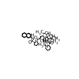 C/C(=C\[C@H](C(C)C)N(C)C(=O)[C@@H](NC(=O)[C@H]1CCCCN1C)C(C)(C)C)C(=O)N1CCC[C@H]1C(=O)Nc1ccc2ccccc2c1